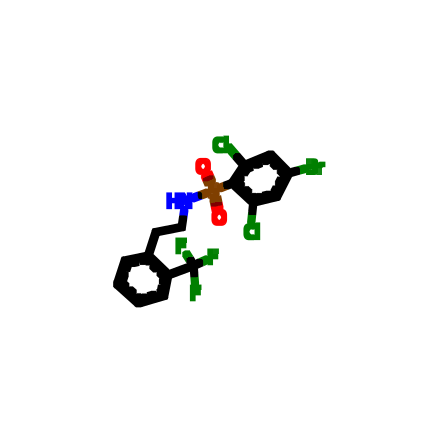 O=S(=O)(NCCc1ccccc1C(F)(F)F)c1c(Cl)cc(Br)cc1Cl